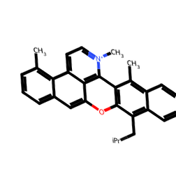 Cc1c2c(c(CC(C)C)c3ccccc13)Oc1cc3cccc(C)c3c3cc[n+](C)c-2c13